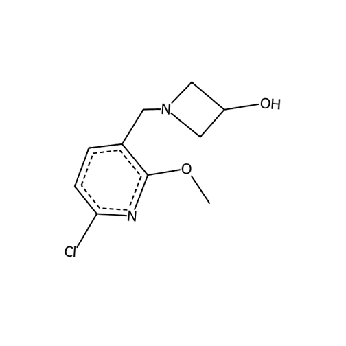 COc1nc(Cl)ccc1CN1CC(O)C1